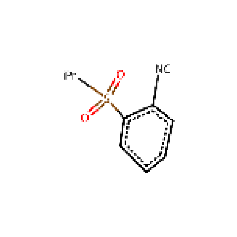 [C-]#[N+]c1ccccc1S(=O)(=O)C(C)C